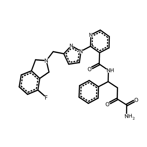 NC(=O)C(=O)CC(NC(=O)c1cccnc1-n1ccc(CN2Cc3cccc(F)c3C2)n1)c1ccccc1